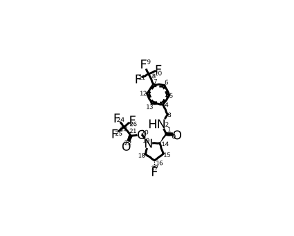 O=C(NCc1ccc(C(F)(F)F)cc1)[C@H]1C[C@H](F)CN1OC(=O)C(F)(F)F